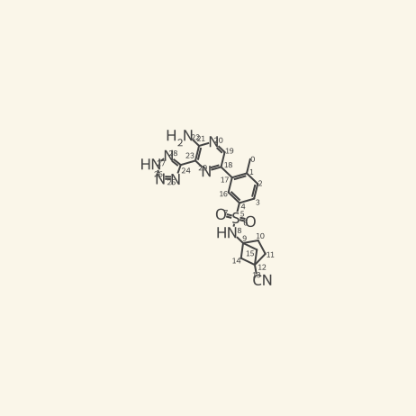 Cc1ccc(S(=O)(=O)NC23CCC(C#N)(C2)C3)cc1-c1cnc(N)c(-c2nn[nH]n2)n1